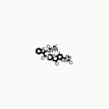 CCNC(=O)Nc1sc2ccccc2c1C(=O)N1CCC2(CC1)CC(=O)c1cc(-c3noc(=O)[nH]3)ccc1S2